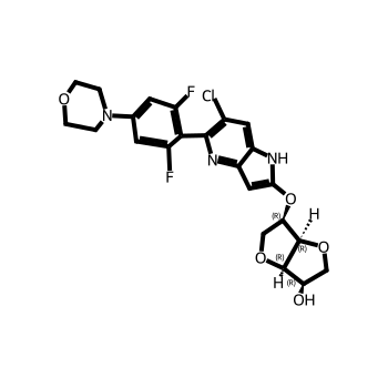 O[C@@H]1CO[C@H]2[C@@H]1OC[C@H]2Oc1cc2nc(-c3c(F)cc(N4CCOCC4)cc3F)c(Cl)cc2[nH]1